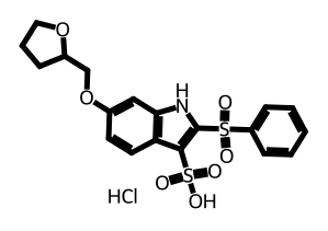 Cl.O=S(=O)(O)c1c(S(=O)(=O)c2ccccc2)[nH]c2cc(OCC3CCCO3)ccc12